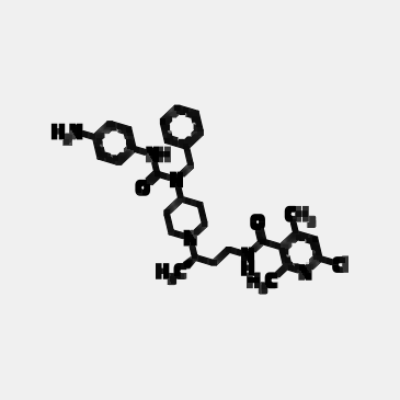 Cc1cc(Cl)nc(C)c1C(=O)NCC[C@@H](C)N1CCC(N(Cc2ccccc2)C(=O)Nc2ccc(N)cc2)CC1